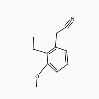 CCc1c(CC#N)cccc1OC